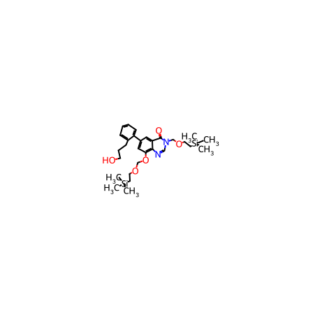 C[Si](C)(C)CCOCOc1cc(-c2ccccc2CCCO)cc2c(=O)n(COCC[Si](C)(C)C)cnc12